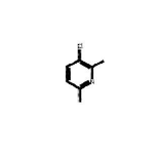 Cc1ccc(Cl)c(C)n1